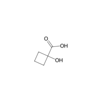 O=C(O)C1(O)CCC1